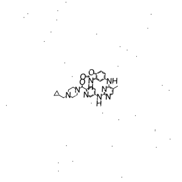 Cc1cnc(Nc2ccc(C(=O)N3CCN(CC4CC4)CC3)nc2)nc1Nc1ccc2oc(=O)[nH]c2c1